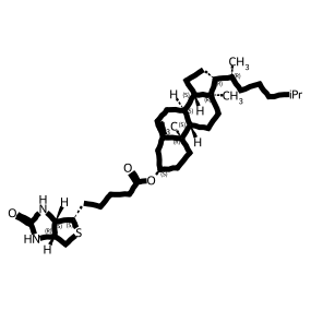 CC(C)CCC[C@@H](C)[C@H]1CC[C@H]2[C@@H]3CC=C4C[C@@H](OC(=O)CCCC[C@@H]5SC[C@@H]6NC(=O)N[C@@H]65)CC[C@]4(C)[C@H]3CC[C@]12C